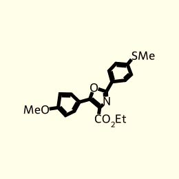 CCOC(=O)c1nc(-c2ccc(SC)cc2)oc1-c1ccc(OC)cc1